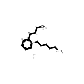 CCCCCC[n+]1ccccc1CCCC.[F-]